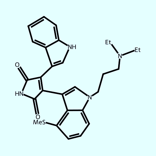 CCN(CC)CCCn1cc(C2=C(c3c[nH]c4ccccc34)C(=O)NC2=O)c2c(SC)cccc21